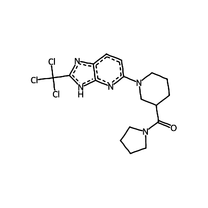 O=C(C1CCCN(c2ccc3nc(C(Cl)(Cl)Cl)[nH]c3n2)C1)N1CCCC1